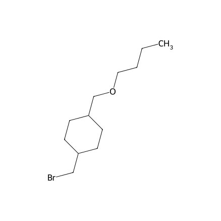 CCCCOCC1CCC(CBr)CC1